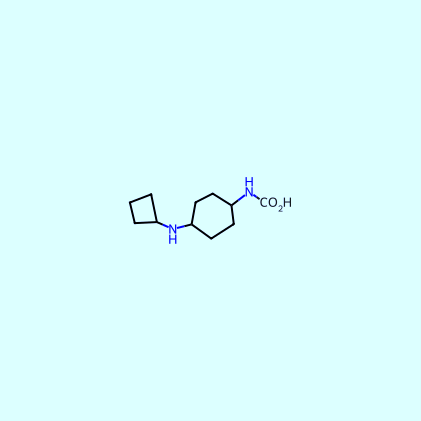 O=C(O)NC1CCC(NC2CCC2)CC1